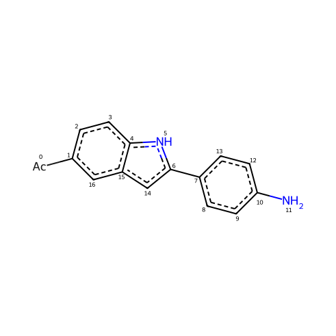 CC(=O)c1ccc2[nH]c(-c3ccc(N)cc3)cc2c1